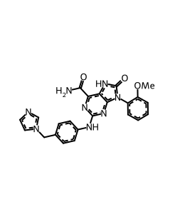 COc1ccccc1-n1c(=O)[nH]c2c(C(N)=O)nc(Nc3ccc(Cn4ccnc4)cc3)nc21